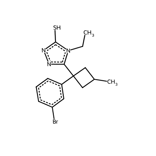 CCn1c(S)nnc1C1(c2cccc(Br)c2)CC(C)C1